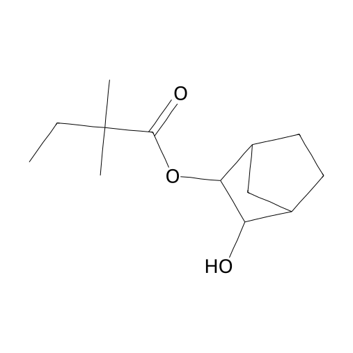 CCC(C)(C)C(=O)OC1C2CCC(C2)C1O